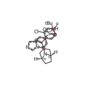 CC(C)(C)NS(=O)(=O)c1cc(N2[C@@H]3CC[C@H]2CN(C(=O)c2ccc(F)cc2Cl)C3)n2cncc2c1